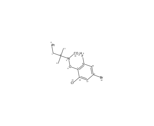 CC(C)CC(C)(C)N(Oc1c(F)cc(Br)cc1Cl)C(=O)O